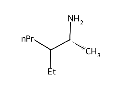 CCCC(CC)[C@@H](C)N